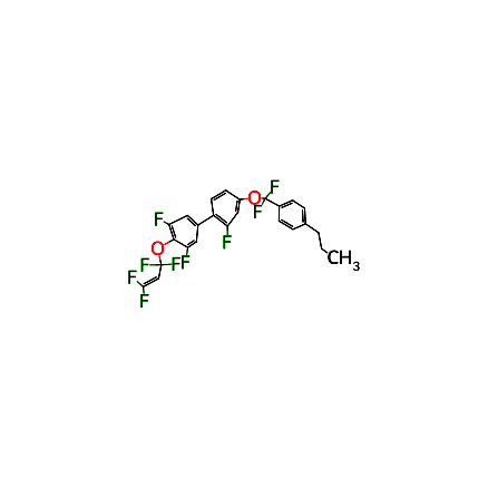 CCCc1ccc(C(F)(F)Oc2ccc(-c3cc(F)c(OC(F)(F)C=C(F)F)c(F)c3)c(F)c2)cc1